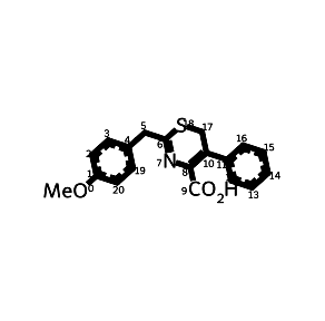 COc1ccc(CC2=NC(C(=O)O)=C(c3ccccc3)CS2)cc1